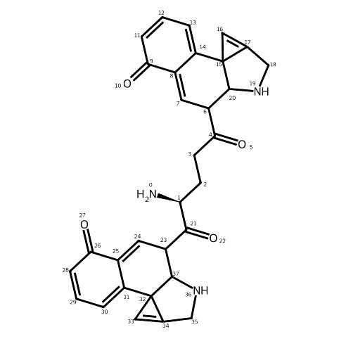 N[C@@H](CCC(=O)C1C=C2C(=O)C=CC=C2C23C=C2CNC13)C(=O)C1C=C2C(=O)C=CC=C2C23C=C2CNC13